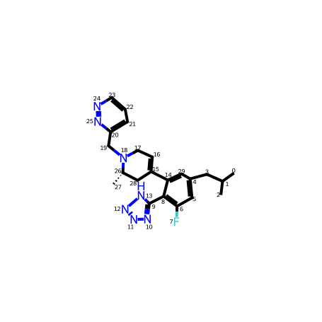 CC(C)Cc1cc(F)c(-c2nnn[nH]2)c(C2=CCN(Cc3cccnn3)[C@@H](C)C2)c1